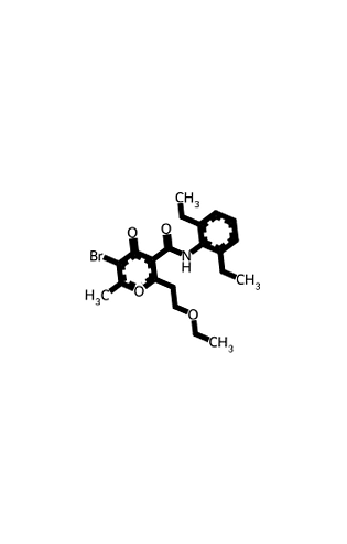 CCOCCc1oc(C)c(Br)c(=O)c1C(=O)Nc1c(CC)cccc1CC